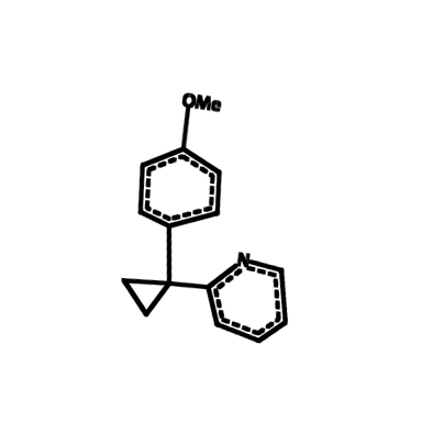 COc1ccc(C2(c3ccccn3)CC2)cc1